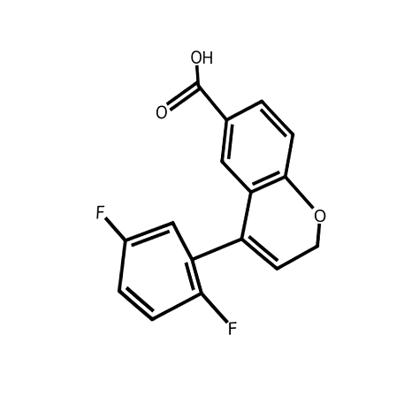 O=C(O)c1ccc2c(c1)C(c1cc(F)ccc1F)=CCO2